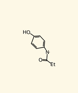 CCC(=O)[N]c1ccc(O)cc1